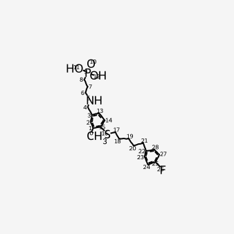 Cc1cc(CNCCCP(=O)(O)O)ccc1SCCCCCc1ccc(F)cc1